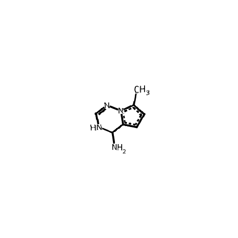 Cc1ccc2n1N=CNC2N